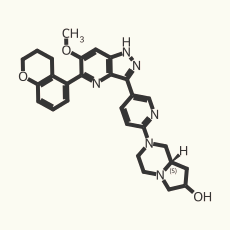 COc1cc2[nH]nc(-c3ccc(N4CCN5CC(O)C[C@H]5C4)nc3)c2nc1-c1cccc2c1CCCO2